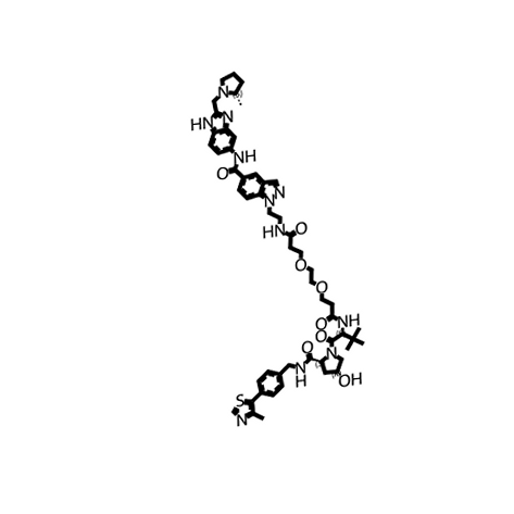 Cc1ncsc1-c1ccc(CNC(=O)[C@@H]2C[C@@H](O)CN2C(=O)[C@@H](NC(=O)CCOCCOCCC(=O)NCCn2ncc3cc(C(=O)Nc4ccc5[nH]c(CN6CCC[C@@H]6C)nc5c4)ccc32)C(C)(C)C)cc1